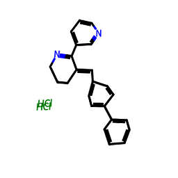 C(=C1CCCN=C1c1cccnc1)c1ccc(-c2ccccc2)cc1.Cl.Cl